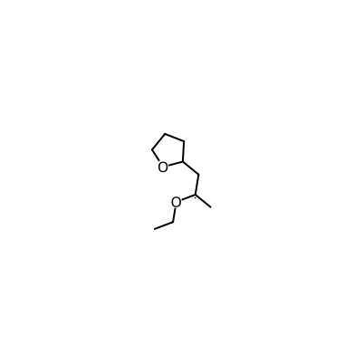 CCO[C](C)CC1CCCO1